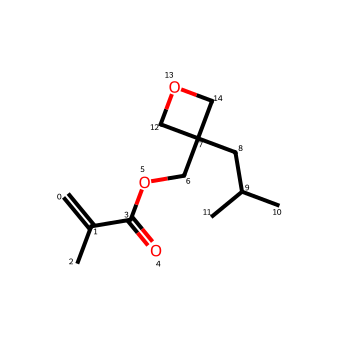 C=C(C)C(=O)OCC1(CC(C)C)COC1